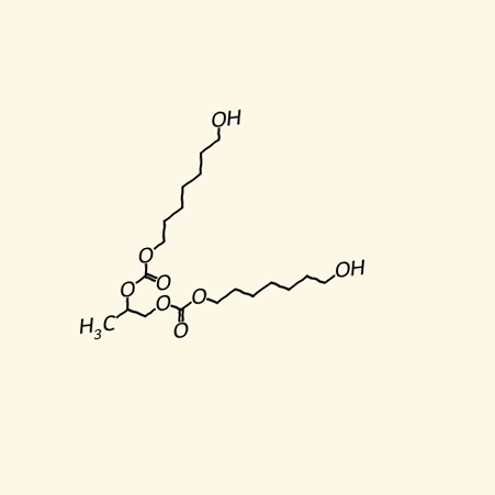 CC(COC(=O)OCCCCCCCO)OC(=O)OCCCCCCCO